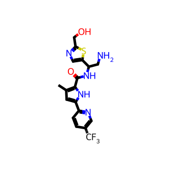 Cc1cc(-c2ccc(C(F)(F)F)cn2)[nH]c1C(=O)NC(CN)c1cnc(CO)s1